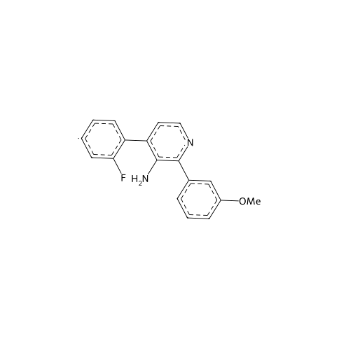 COc1cccc(-c2nccc(-c3cc[c]cc3F)c2N)c1